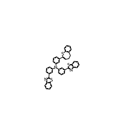 C1=C(c2cccc(N(c3cccc(-c4nc5ccccc5s4)c3)c3cccc(-c4nc5ccccc5s4)c3)c2)Sc2ccccc2CC1